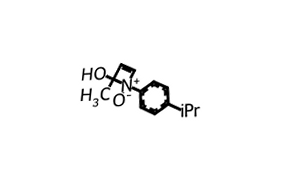 CC(C)c1ccc([N+]2([O-])C=CC2(C)O)cc1